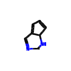 [C]1N=CC2=CC=CC2N1